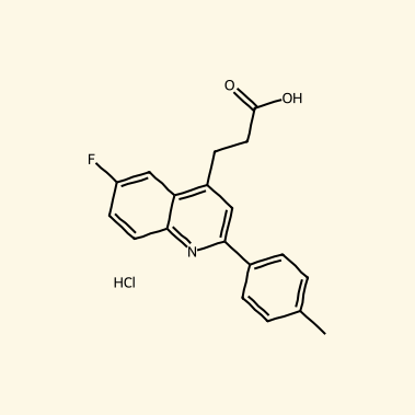 Cc1ccc(-c2cc(CCC(=O)O)c3cc(F)ccc3n2)cc1.Cl